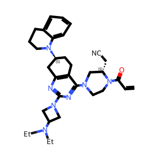 C=CC(=O)N1CCN(c2nc(N3CC(N(CC)CC)C3)nc3c2CC[C@H](N2CCCc4ccccc42)C3)C[C@@H]1CC#N